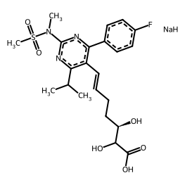 CC(C)c1nc(N(C)S(C)(=O)=O)nc(-c2ccc(F)cc2)c1C=CCC[C@@H](O)C(O)C(=O)O.[NaH]